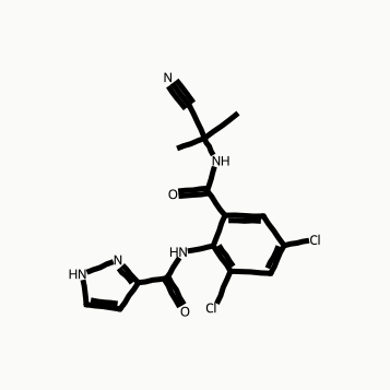 CC(C)(C#N)NC(=O)c1cc(Cl)cc(Cl)c1NC(=O)c1cc[nH]n1